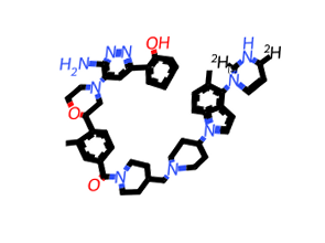 [2H]C1C=CN(c2c(C)ccc3c2ccn3C2CCN(CC3CCN(C(=O)c4ccc(C5CN(c6cc(-c7ccccc7O)nnc6N)CCO5)c(C)c4)CC3)CC2)[C@@H]([2H])N1